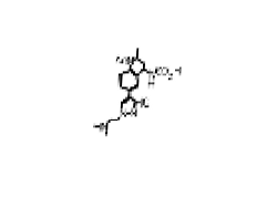 CC(=O)N1c2ccc(-c3cnn(CCN(C)C)c3)cc2C(NC(=O)O)CC1C.Cl